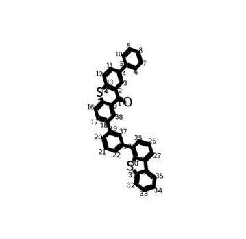 O=c1c2cc(-c3ccccc3)ccc2sc2ccc(-c3cccc(-c4cccc5c4sc4ccccc45)c3)cc12